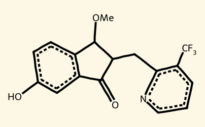 COC1c2ccc(O)cc2C(=O)C1Cc1ncccc1C(F)(F)F